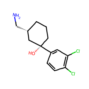 NC[C@@H]1CCC[C@@](O)(c2ccc(Cl)c(Cl)c2)C1